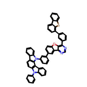 c1ccc(-n2c3ccccc3c3c2ccc2c4ccccc4n(-c4cccc(-c5ccc6oc7c(-c8cccc(-c9cccc%10c9sc9ccccc9%10)c8)ncnc7c6c5)c4)c23)cc1